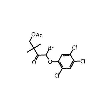 CC(=O)OCC(C)(C)C(=O)C(Br)Oc1cc(Cl)c(Cl)cc1Cl